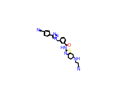 N#CCCN[C@H]1CCc2nc(NC(=O)c3cccc(Cn4cc(-c5ccc(C#N)cc5)nn4)c3)sc2C1